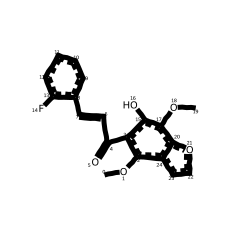 COc1c(C(=O)C=Cc2ccccc2F)c(O)c(OC)c2occc12